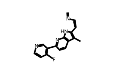 C=N/C=C\c1[nH]c2nc(-c3cnccc3F)ccc2c1C